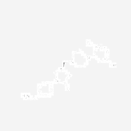 NCc1ccc(N2C[C@@H](CN3CCN(C(CC(=O)O)C(=O)O)CC3)OC2=O)cc1